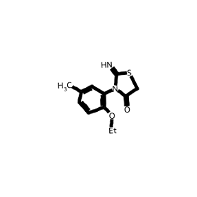 CCOc1ccc(C)cc1N1C(=N)SCC1=O